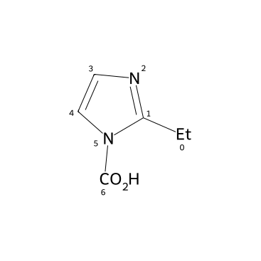 CCc1nccn1C(=O)O